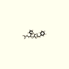 CN(C)CCC(OC1COC(Cc2ccccc2)O1)c1ccco1